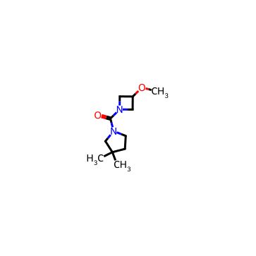 COC1CN(C(=O)N2CCC(C)(C)C2)C1